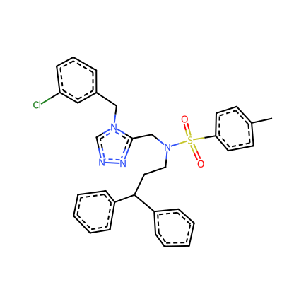 Cc1ccc(S(=O)(=O)N(CCC(c2ccccc2)c2ccccc2)Cc2nncn2Cc2cccc(Cl)c2)cc1